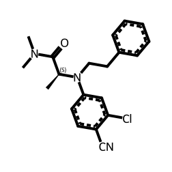 C[C@@H](C(=O)N(C)C)N(CCc1ccccc1)c1ccc(C#N)c(Cl)c1